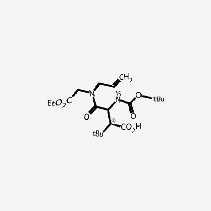 C=CCN(CC(=O)OCC)C(=O)C(NC(=O)OC(C)(C)C)[C@@H](C(=O)O)C(C)(C)C